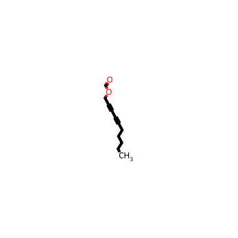 CCCCCC#CC#CCOC=O